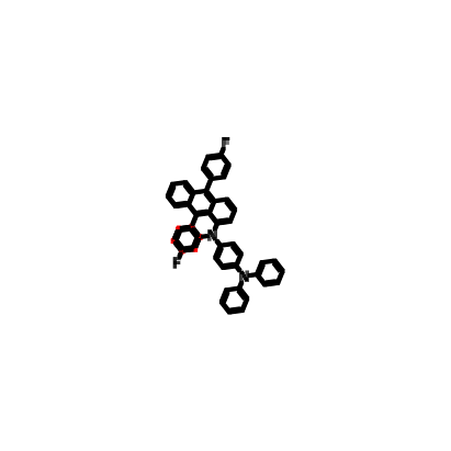 Fc1ccc(-c2c3ccccc3c(-c3ccc(F)cc3)c3c(N(c4ccccc4)c4ccc(N(c5ccccc5)c5ccccc5)cc4)cccc23)cc1